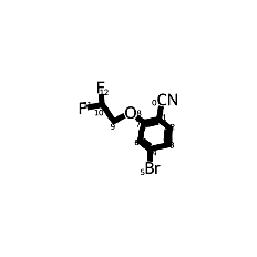 N#Cc1ccc(Br)cc1OCC(F)F